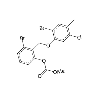 COC(=O)Oc1cccc(Br)c1COc1cc(Cl)c(C)cc1Br